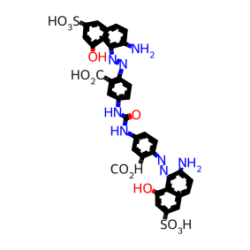 Nc1ccc2cc(S(=O)(=O)O)cc(O)c2c1/N=N/c1ccc(NC(=O)Nc2ccc(/N=N/c3c(N)ccc4cc(S(=O)(=O)O)cc(O)c34)c(C(=O)O)c2)cc1C(=O)O